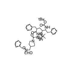 CC(C)[C@H](NC(=O)C(Cc1ccccc1)CC(O[Si](C)(C)C(C)(C)C)C(Cc1ccccc1)NC(=O)OC(C)(C)C)C(=O)N1CCC(CN(C=O)OCc2ccccc2)CC1